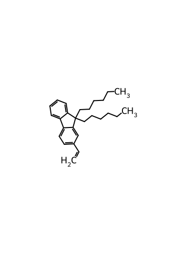 C=Cc1ccc2c(c1)C(CCCCCC)(CCCCCC)c1ccccc1-2